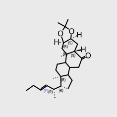 CC/C=C/[C@@H](C)[C@H]1CCC2C3CC(=O)[C@H]4C[C@@H]5OC(C)(C)O[C@@H]5C[C@]4(C)C3CC[C@@]21C